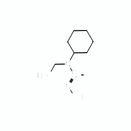 CCN(C1CCCCC1)/[N+]([O-])=N/O